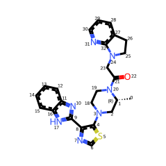 C[C@@H]1CN(c2scnc2-c2nc3ccccc3[nH]2)CCN1C(=O)CN1CCc2cccnc21